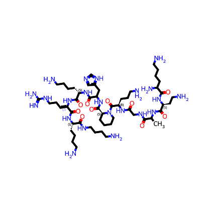 CC(NC(=O)[C@H](CCN)NC(=O)C(N)CCCCN)C(=O)NCC(=O)N[C@H](CCCN)C(=O)N1CCCC[C@H]1C(=O)NC(Cc1cnc[nH]1)C(=O)N[C@@H](CCCCN)C(=O)N/C(=C\CCNC(=N)N)C(=O)N[C@@H](CCCCN)C(=O)NCCCCN